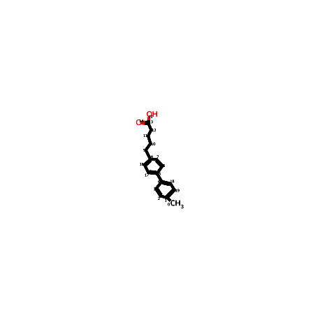 Cc1ccc(-c2ccc(CCCCC(=O)O)cc2)cc1